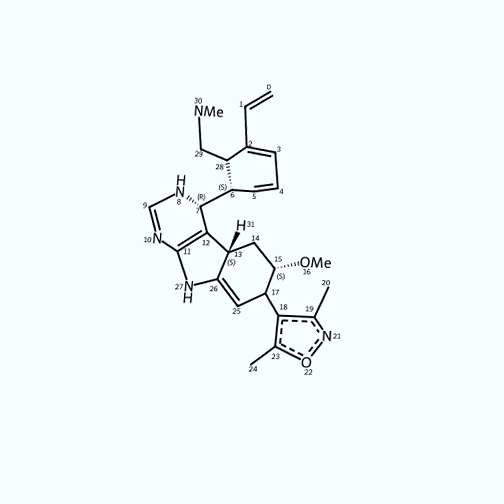 C=CC1=CC=C[C@H]([C@H]2NC=NC3=C2[C@@H]2C[C@H](OC)C(c4c(C)noc4C)C=C2N3)C1CNC